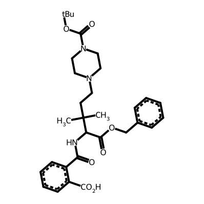 CC(C)(C)OC(=O)N1CCN(CCC(C)(C)C(NC(=O)c2ccccc2C(=O)O)C(=O)OCc2ccccc2)CC1